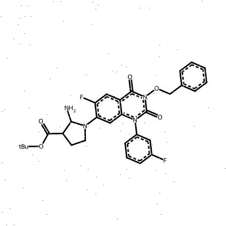 CC(C)(C)OC(=O)C1CCN(c2cc3c(cc2F)c(=O)n(OCc2ccccc2)c(=O)n3-c2cccc(F)c2)C1N